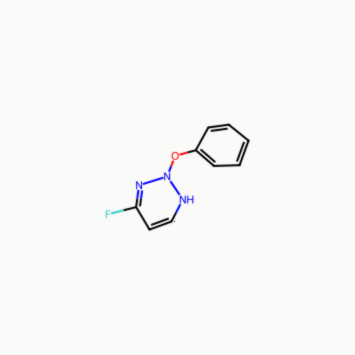 FC1=NN(Oc2ccccc2)N[C]=C1